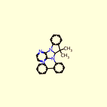 CC1(C)c2ccccc2N2c3nccnc3N(c3ccccc3-c3ccccc3)C21